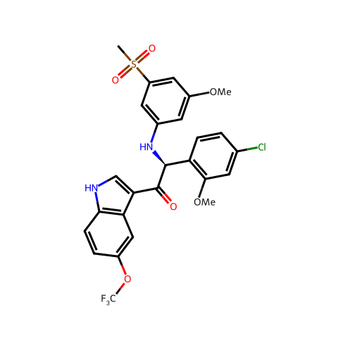 COc1cc(N[C@H](C(=O)c2c[nH]c3ccc(OC(F)(F)F)cc23)c2ccc(Cl)cc2OC)cc(S(C)(=O)=O)c1